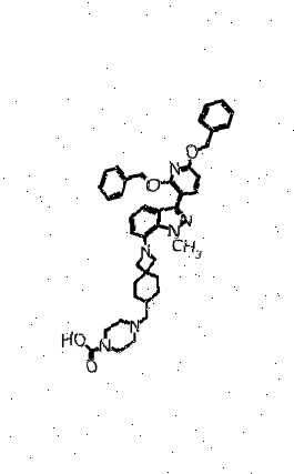 Cn1nc(-c2ccc(OCc3ccccc3)nc2OCc2ccccc2)c2cccc(N3CC4(CCC(CN5CCN(C(=O)O)CC5)CC4)C3)c21